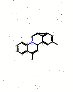 CC1=CC2c3cc(C)cc4c3CC(C4)N2c2ccccc21